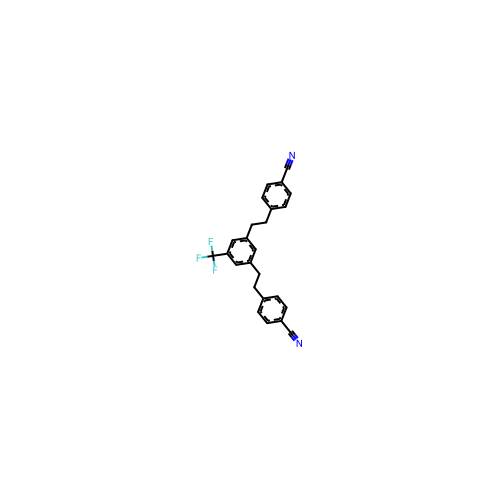 N#Cc1ccc(CCc2cc(CCc3ccc(C#N)cc3)cc(C(F)(F)F)c2)cc1